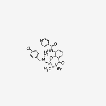 CC(C)N1C(=O)c2cccc(NC(=O)c3ccncc3)c2O[C@H](CN(C)Cc2ccc(Cl)cc2)[C@H]1C